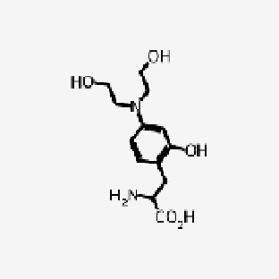 NC(Cc1ccc(N(CCO)CCO)cc1O)C(=O)O